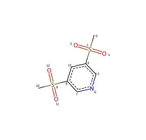 CS(=O)(=O)c1[c]ncc(S(C)(=O)=O)c1